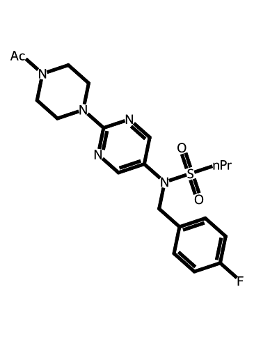 CCCS(=O)(=O)N(Cc1ccc(F)cc1)c1cnc(N2CCN(C(C)=O)CC2)nc1